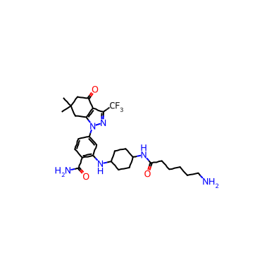 CC1(C)CC(=O)c2c(C(F)(F)F)nn(-c3ccc(C(N)=O)c(NC4CCC(NC(=O)CCCCCN)CC4)c3)c2C1